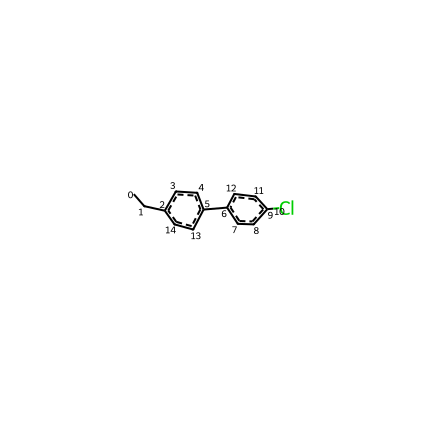 CCc1ccc(-c2ccc(Cl)cc2)cc1